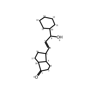 O=C1CCC2C(/C=C/C(O)C3CCCCC3)CCC12